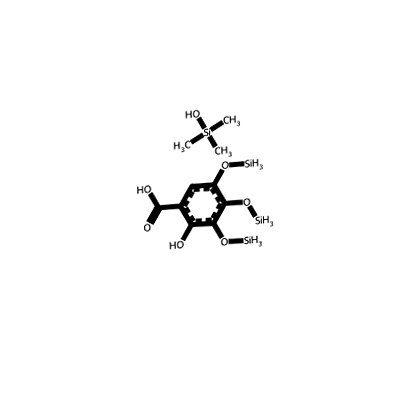 C[Si](C)(C)O.O=C(O)c1cc(O[SiH3])c(O[SiH3])c(O[SiH3])c1O